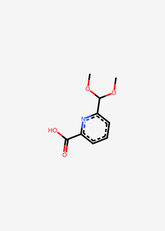 COC(OC)c1cccc(C(=O)O)n1